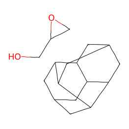 C1C2CC3C4CC5CC(C14)C(C2)C3C5.OCC1CO1